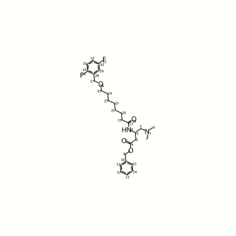 CN(C)CC(CC(=O)OCc1ccccc1)NC(=O)CCCCCCCOCc1cc(F)ccc1F